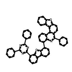 c1ccc(-c2nc(-c3ccccc3)nc(-c3cccc4c3oc3c(-c5cccc6c5nc(-c5ccccc5)c5ccc7oc8ccccc8c7c56)cccc34)n2)cc1